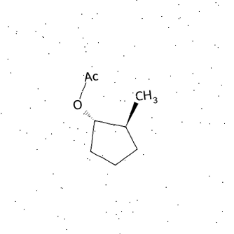 CC(=O)O[C@H]1CCC[C@@H]1C